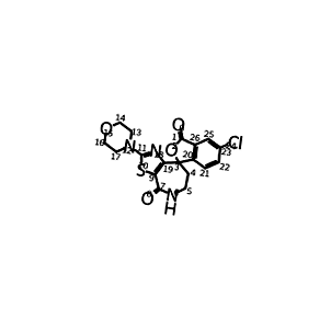 O=C1OC2(CCNC(=O)c3sc(N4CCOCC4)nc32)c2ccc(Cl)cc21